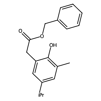 Cc1cc(C(C)C)cc(CC(=O)OCc2ccccc2)c1O